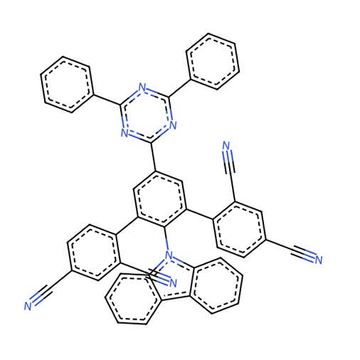 N#Cc1ccc(-c2cc(-c3nc(-c4ccccc4)nc(-c4ccccc4)n3)cc(-c3ccc(C#N)cc3C#N)c2-n2c3ccccc3c3ccccc32)c(C#N)c1